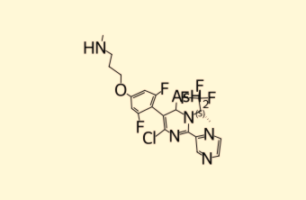 CNCCCOc1cc(F)c(C2=C(Cl)N=C(c3cnccn3)N([C@@H](C)C(F)(F)F)C2[AsH2])c(F)c1